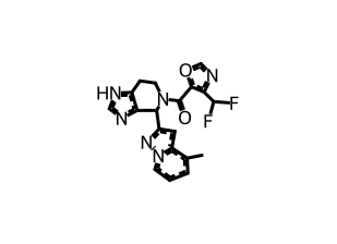 Cc1cccn2nc(C3c4nc[nH]c4CCN3C(=O)c3ocnc3C(F)F)cc12